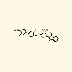 COc1ccc(-c2ccc(CC[C@@H](O)[C@H](CCN3C(=O)c4ccccc4C3=O)C(=O)O)c(F)c2)cc1F